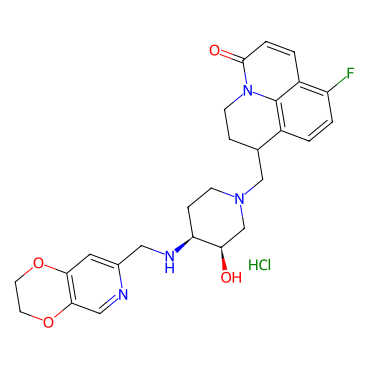 Cl.O=c1ccc2c(F)ccc3c2n1CCC3CN1CC[C@H](NCc2cc3c(cn2)OCCO3)[C@H](O)C1